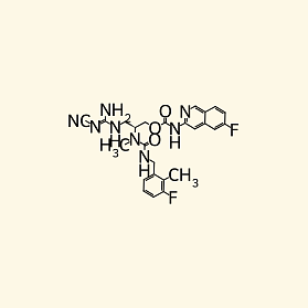 Cc1c(F)cccc1CNC(=O)N(C)[C@@H](CN/C(N)=N/C#N)COC(=O)Nc1cc2cc(F)ccc2cn1